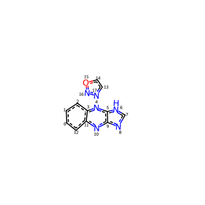 c1ccc2nc3[nH]cnc3nc2c1.c1conn1